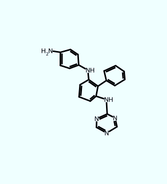 Nc1ccc(Nc2cccc(Nc3ncncn3)c2-c2ccccc2)cc1